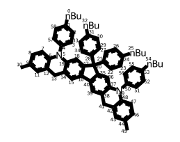 CCCCc1ccc(N2c3ccc(C)cc3Cc3cc4c(cc32)C(c2ccc(CCCC)cc2)(c2ccc(CCCC)cc2)c2cc3c(cc2-4)Cc2cc(C)ccc2N3c2ccc(CCCC)cc2)cc1